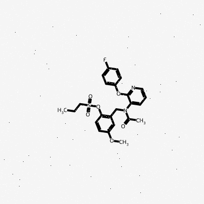 CCCS(=O)(=O)Oc1ccc(OC)cc1CN(C(C)=O)c1cccnc1Oc1ccc(F)cc1